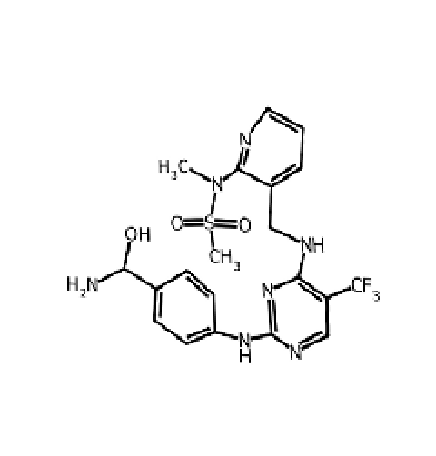 CN(c1ncccc1CNc1nc(Nc2ccc(C(N)O)cc2)ncc1C(F)(F)F)S(C)(=O)=O